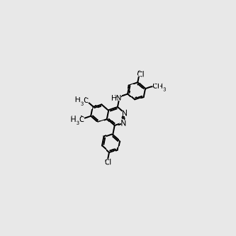 Cc1cc2c(Nc3ccc(C)c(Cl)c3)nnc(-c3ccc(Cl)cc3)c2cc1C